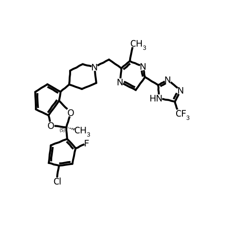 Cc1nc(-c2nnc(C(F)(F)F)[nH]2)cnc1CN1CCC(c2cccc3c2O[C@@](C)(c2ccc(Cl)cc2F)O3)CC1